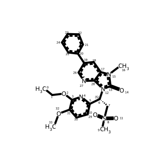 CCOc1nc([C@@H](CS(C)(=O)=O)n2c(=O)n(C)c3cc(-c4ccccc4)cnc32)ccc1OC